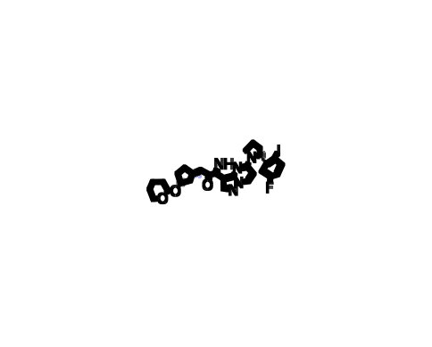 N=C(C(=O)/C=C1/CC[C@H](OC2CCCCO2)C1)c1cnn2ccc(N3CCC[C@@H]3c3cc(F)ccc3I)nc12